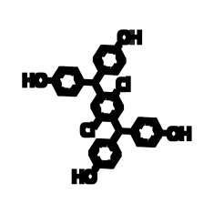 Oc1ccc(C(c2ccc(O)cc2)c2cc(Cl)c(C(c3ccc(O)cc3)c3ccc(O)cc3)cc2Cl)cc1